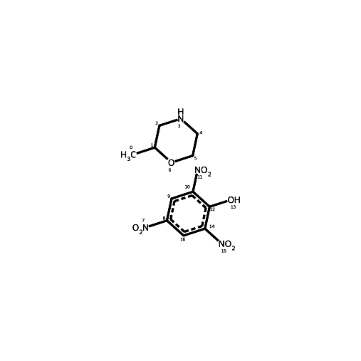 CC1CNCCO1.O=[N+]([O-])c1cc([N+](=O)[O-])c(O)c([N+](=O)[O-])c1